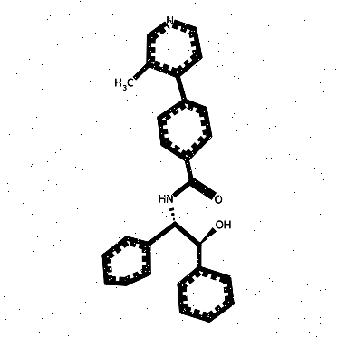 Cc1cnccc1-c1ccc(C(=O)N[C@@H](c2ccccc2)[C@@H](O)c2ccccc2)cc1